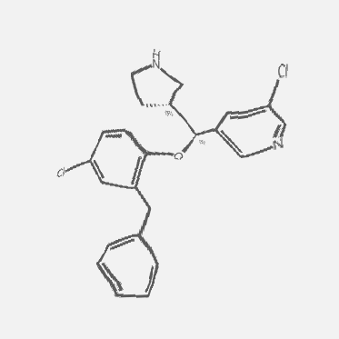 Clc1cncc([C@@H](Oc2ccc(Cl)cc2Cc2ccccc2)[C@@H]2CCNC2)c1